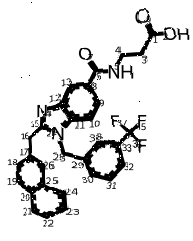 O=C(O)CCNC(=O)c1ccc2c(c1)nc(Cc1ccc3ccccc3c1)n2Cc1cccc(C(F)(F)F)c1